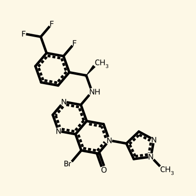 C[C@@H](Nc1ncnc2c(Br)c(=O)n(-c3cnn(C)c3)cc12)c1cccc(C(F)F)c1F